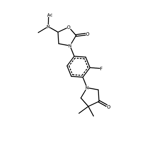 CC(=O)N(C)C1CN(c2ccc(N3CC(=O)C(C)(C)C3)c(F)c2)C(=O)O1